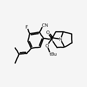 CC(C)=Cc1cc(F)c(C#N)c(N2CC3CCC(C2)N3C(=O)OC(C)(C)C)c1